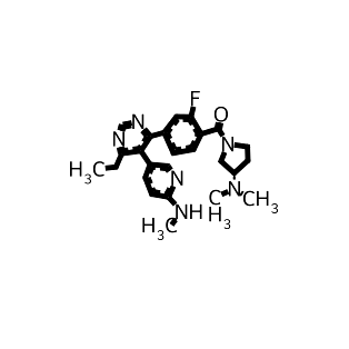 CCc1ncnc(-c2ccc(C(=O)N3CC[C@H](N(C)C)C3)c(F)c2)c1-c1ccc(NC)nc1